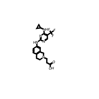 O=C(O)CCN1CCc2ccc(Nc3ncc(C(F)(F)F)c(NC4CC4)n3)cc2C1